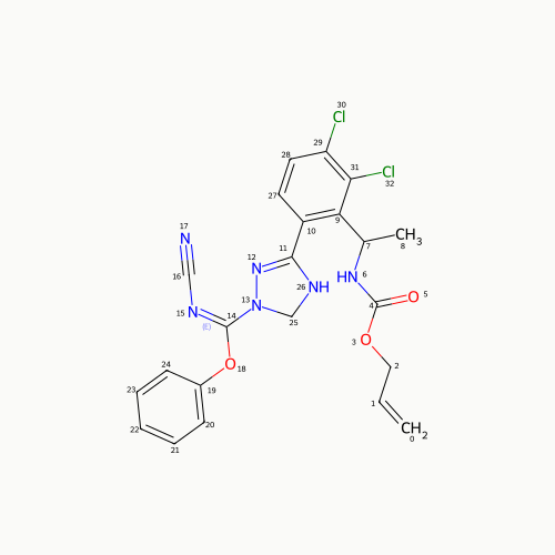 C=CCOC(=O)NC(C)c1c(C2=NN(/C(=N\C#N)Oc3ccccc3)CN2)ccc(Cl)c1Cl